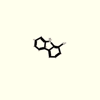 [Li][c]1cccc2c1[nH]c1ccccc12